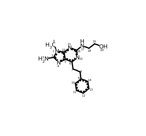 Cn1c(N)nc2c(CCc3ccccc3)nc(NCCO)nc21